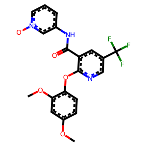 COc1ccc(Oc2ncc(C(F)(F)F)cc2C(=O)Nc2ccc[n+]([O-])c2)c(OC)c1